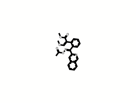 COC=C(C(=O)OC)c1ccccc1C(=NOC(C)=O)c1cc2ccccc2cn1